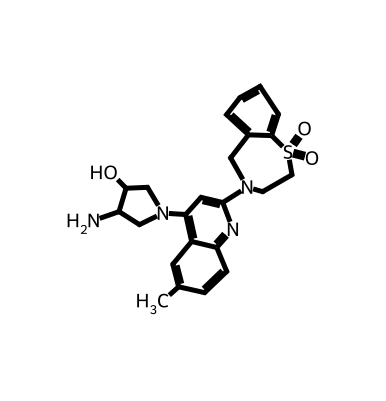 Cc1ccc2nc(N3CCS(=O)(=O)c4ccccc4C3)cc(N3CC(N)C(O)C3)c2c1